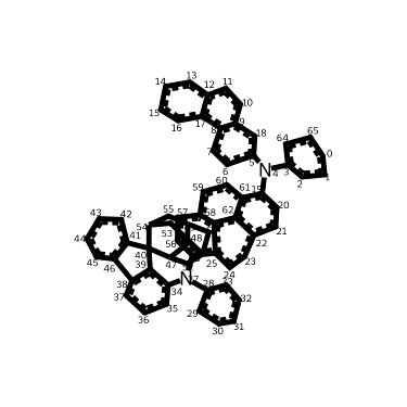 c1ccc(N(c2ccc3c(ccc4ccccc43)c2)c2ccc3ccc4c(N(c5ccccc5)c5cccc6c5C5(c7ccccc7-6)C6CC7CC(C6)CC5C7)ccc5ccc2c3c54)cc1